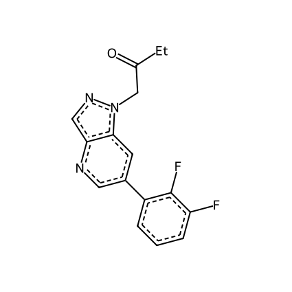 CCC(=O)Cn1ncc2ncc(-c3cccc(F)c3F)cc21